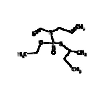 C=CCN(C=S)P(=O)(OCC)SC(C)CC